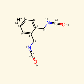 O=C=NCc1ccccc1CN=C=O.[H+]